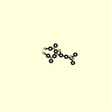 N#Cc1ccc(N(c2ccccc2)c2ccc3c(c2)c2cc(N(c4ccccc4)c4ccc(C#N)cc4)ccc2n3-c2ccc(-c3ccc(-c4cc(-c5ccccc5)nc(-c5ccccc5)n4)cc3)cc2C#N)cc1